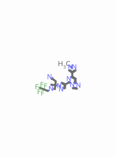 Cn1cc(-c2cc3nccn3c(-c3cnn(C4(CC#N)CN(CC(F)(F)C(F)(F)F)C4)c3)n2)cn1